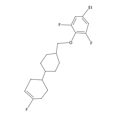 CCc1cc(F)c(OCC2CCC(C3CC=C(F)CC3)CC2)c(F)c1